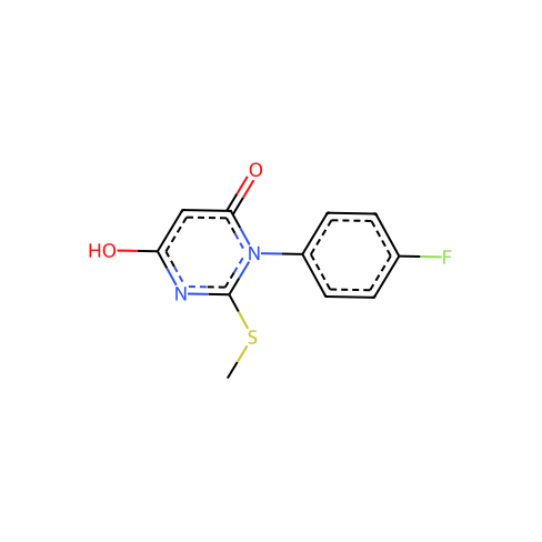 CSc1nc(O)cc(=O)n1-c1ccc(F)cc1